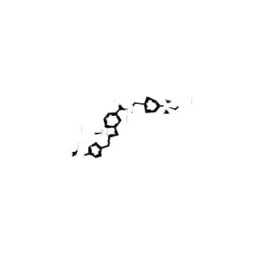 CCn1c(Cc2ccc(OC(F)(F)F)cc2)cc2cc(C(=O)NCc3ccc(S(=O)(=O)CC)cc3)ccc21